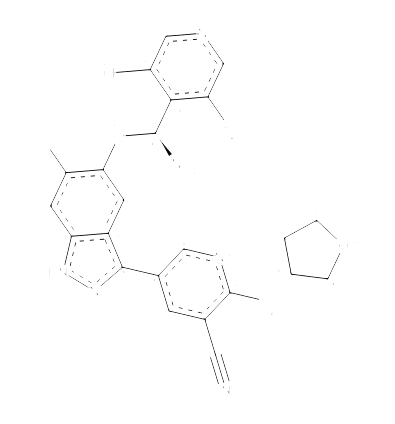 N#Cc1cc(-c2n[nH]c3cc(F)c(O[C@H](N)c4c(Cl)cncc4Cl)cc23)cnc1O[C@@H]1CCOC1